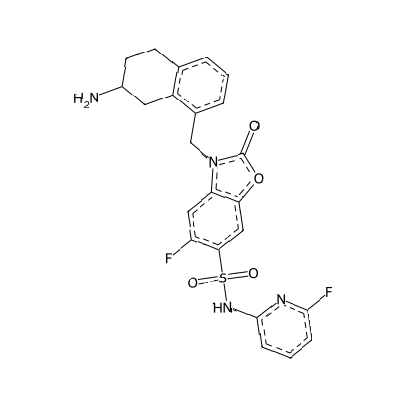 NC1CCc2cccc(Cn3c(=O)oc4cc(S(=O)(=O)Nc5cccc(F)n5)c(F)cc43)c2C1